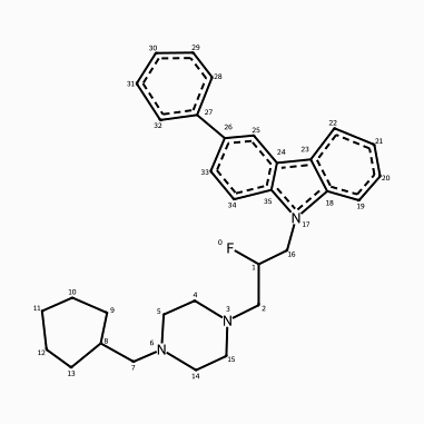 FC(CN1CCN(CC2CCCCC2)CC1)Cn1c2ccccc2c2cc(-c3ccccc3)ccc21